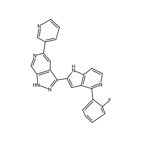 Fc1ccccc1-c1nccc2[nH]c(-c3n[nH]c4cnc(-c5cccnc5)cc34)cc12